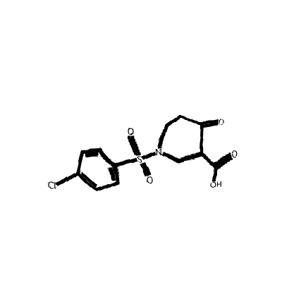 O=C(O)C1CN(S(=O)(=O)c2ccc(Cl)cc2)CCC1=O